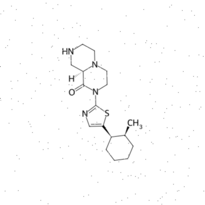 C[C@H]1CCCC[C@H]1c1cnc(N2CCN3CCNC[C@@H]3C2=O)s1